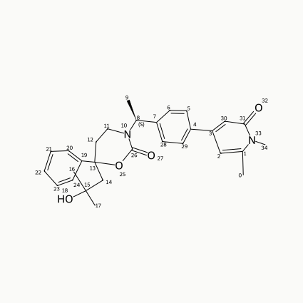 Cc1cc(-c2ccc([C@H](C)N3CCC(CC(C)(C)O)(c4ccccc4)OC3=O)cc2)cc(=O)n1C